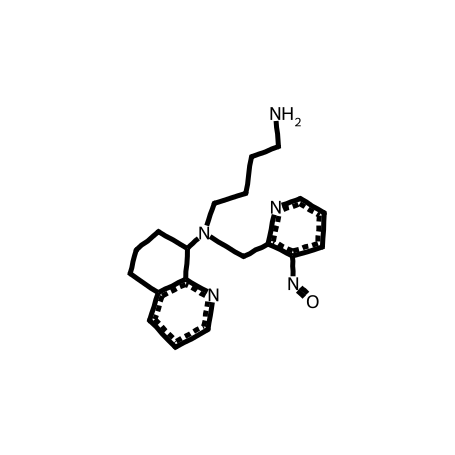 NCCCCN(Cc1ncccc1N=O)C1CCCc2cccnc21